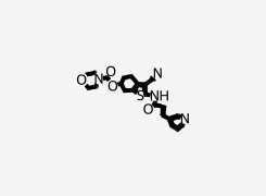 N#Cc1c(NC(=O)/C=C/c2cccnc2)sc2c1CCC(OC(=O)N1CCOCC1)C2